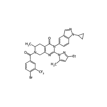 CCc1cc(C)n(-c2nc3c(c(=O)n2-c2ccc4c(cnn4C4CC4)c2)CC(C)N(C(=O)c2ccc(Br)c(C(F)(F)F)c2)C3)n1